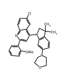 COc1ccccc1-c1cc(N2CC(C)(C)c3ccc(N4CCOCC4)cc32)c2cc(Cl)ccc2n1